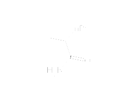 BC(=O)C(C)CCC